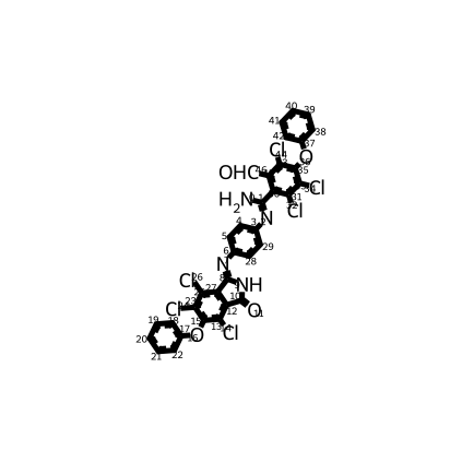 N/C(=N\c1ccc(/N=C2\NC(=O)c3c(Cl)c(Oc4ccccc4)c(Cl)c(Cl)c32)cc1)c1c(Cl)c(Cl)c(Oc2ccccc2)c(Cl)c1C=O